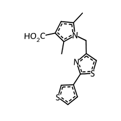 Cc1cc(C(=O)O)c(C)n1Cc1csc(-c2ccsc2)n1